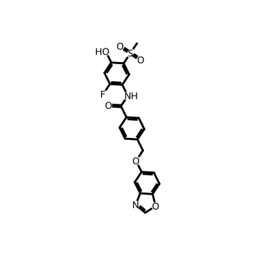 CS(=O)(=O)c1cc(NC(=O)c2ccc(COc3ccc4ocnc4c3)cc2)c(F)cc1O